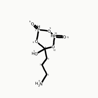 NCCCC1(O)O[PH](=O)O[PH](=O)O1